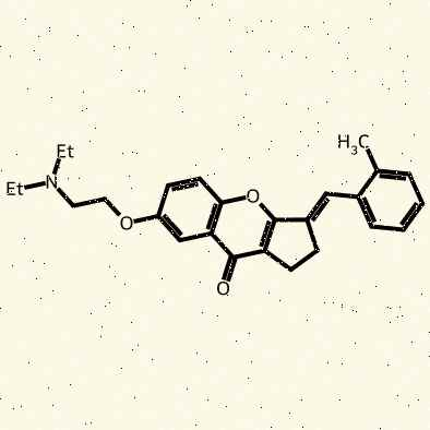 CCN(CC)CCOc1ccc2oc3c(c(=O)c2c1)CCC3=Cc1ccccc1C